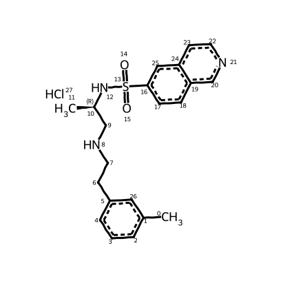 Cc1cccc(CCNC[C@@H](C)NS(=O)(=O)c2ccc3cnccc3c2)c1.Cl